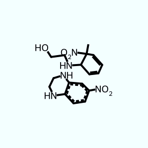 CC1([N+](=O)[O-])C=CC=CC1NCCO.O=[N+]([O-])c1ccc2c(c1)NCCN2